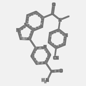 CN(C(=O)c1ccn2ncc(-c3ccc(C(N)=O)cn3)c2c1)c1ccc(C#N)cn1